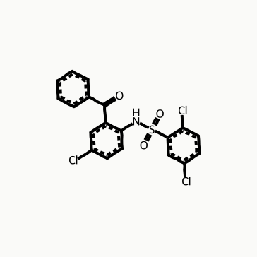 O=C(c1ccccc1)c1cc(Cl)ccc1NS(=O)(=O)c1cc(Cl)ccc1Cl